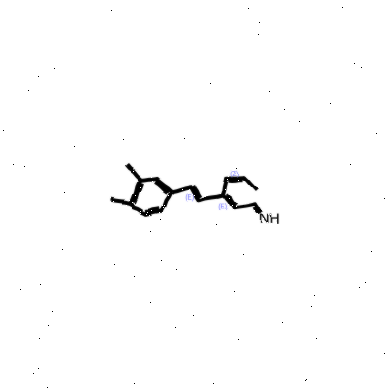 C\C=C/C(/C=C/c1ccc(C)c(C)c1)=C\C=N